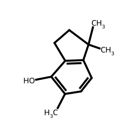 Cc1ccc2c(c1O)CCC2(C)C